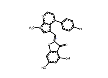 Cn1cc(/C=C2\Oc3cc(O)cc(O)c3C2=O)c2c(-c3ccc(Cl)cc3)ccnc21